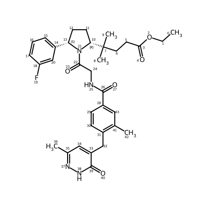 CCOC(=O)CCC(C)(C)[C@H]1CC[C@@H](c2cccc(F)c2)N1C(=O)CNC(=O)c1ccc(Cc2cc(C)n[nH]c2=O)c(C)c1